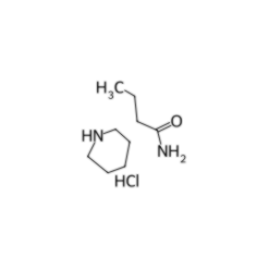 C1CCNCC1.CCCC(N)=O.Cl